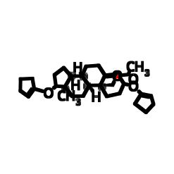 CC(=O)OC[C@]12CCC(OC3=CCCC3)C=C1CC[C@@H]1[C@H]2CC[C@]2(C)C(OC3=CCCC3)CC[C@@H]12